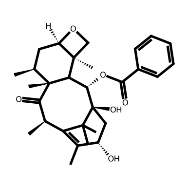 CC1=C2[C@@H](C)C(=O)[C@@]3(C)C([C@H](OC(=O)c4ccccc4)[C@](O)(C[C@@H]1O)C2(C)C)[C@]1(C)CO[C@@H]1C[C@@H]3C